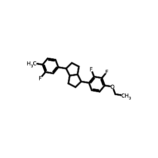 CCOc1ccc(C2CCC3C(c4ccc(C)c(F)c4)CCC23)c(F)c1F